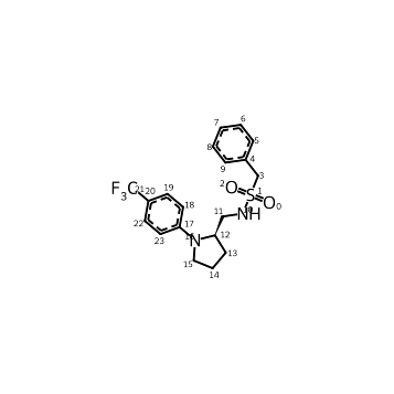 O=S(=O)(Cc1ccccc1)NC[C@H]1CCCN1c1ccc(C(F)(F)F)cc1